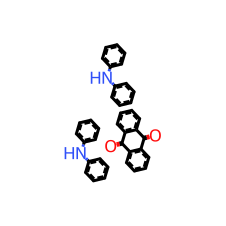 O=C1c2ccccc2C(=O)c2ccccc21.c1ccc(Nc2ccccc2)cc1.c1ccc(Nc2ccccc2)cc1